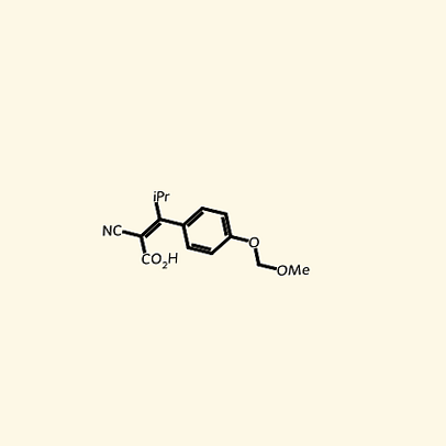 COCOc1ccc(C(=C(C#N)C(=O)O)C(C)C)cc1